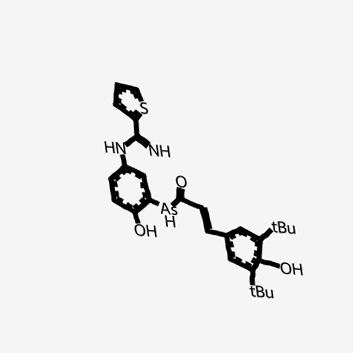 CC(C)(C)c1cc(C=CC(=O)[AsH]c2cc(NC(=N)c3cccs3)ccc2O)cc(C(C)(C)C)c1O